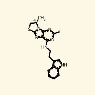 C[C@@H]1CSc2nc3c(NCCc4c[nH]c5ccccc45)nc(I)nc3n21